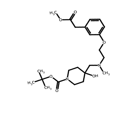 COC(=O)Cc1cccc(OCCN(C)CC2(O)CCN(C(=O)OC(C)(C)C)CC2)c1